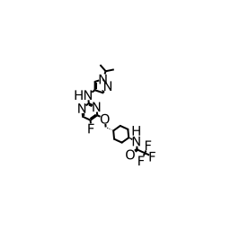 CC(C)n1cc(Nc2ncc(F)c(OC[C@H]3CC[C@H](NC(=O)C(F)(F)F)CC3)n2)cn1